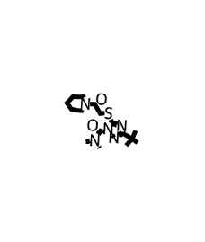 CN(C)C(=O)n1nc(C(C)(C)C)nc1SCC(=O)N1CCCCC1